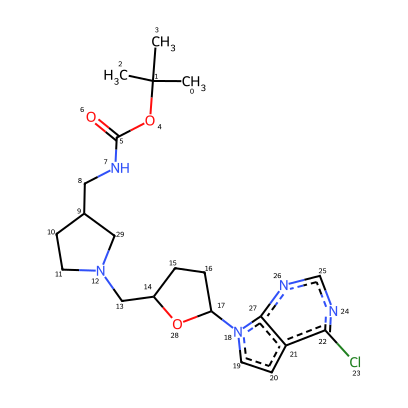 CC(C)(C)OC(=O)NCC1CCN(CC2CCC(n3ccc4c(Cl)ncnc43)O2)C1